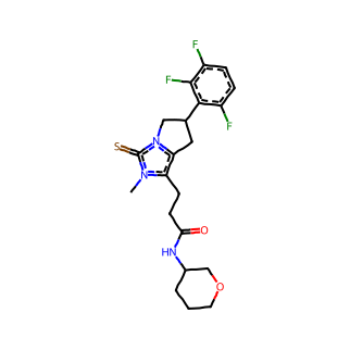 Cn1c(CCC(=O)NC2CCCOC2)c2n(c1=S)CC(c1c(F)ccc(F)c1F)C2